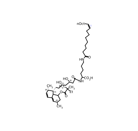 CCCCCCCC/C=C\CCCCCCCC(=O)NCCCCC(NC(=O)C[C@H](O)C[C@@H](O)CC[C@@H]1C2C(=C[C@H](C)CC2OC(=O)C(C)(C)CC)C=C[C@@H]1C)C(=O)O